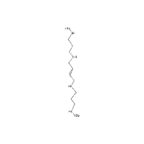 CCCCNCCCNCC=CCNCCCNCCCC